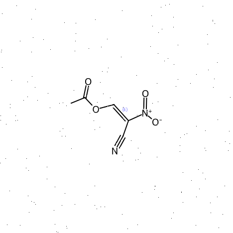 CC(=O)O/C=C(\C#N)[N+](=O)[O-]